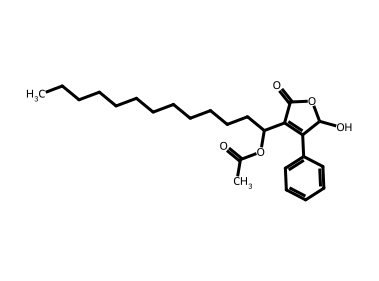 CCCCCCCCCCCCC(OC(C)=O)C1=C(c2ccccc2)C(O)OC1=O